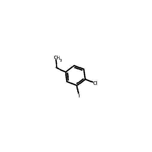 C[CH]c1ccc(Cl)c(I)c1